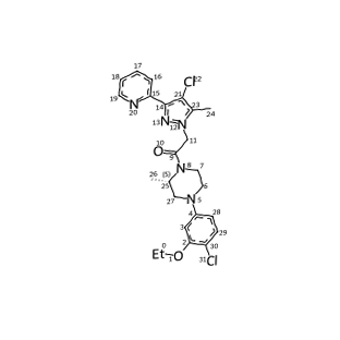 CCOc1cc(N2CCN(C(=O)Cn3nc(-c4ccccn4)c(Cl)c3C)[C@@H](C)C2)ccc1Cl